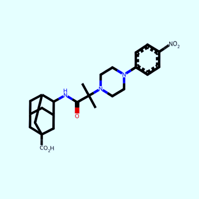 CC(C)(C(=O)NC1C2CC3CC1CC(C(=O)O)(C3)C2)N1CCN(c2ccc([N+](=O)[O-])cc2)CC1